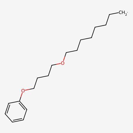 [CH2]CCCCCCCOCCCCOc1ccccc1